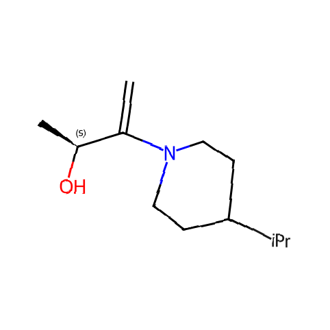 C=C([C@H](C)O)N1CCC(C(C)C)CC1